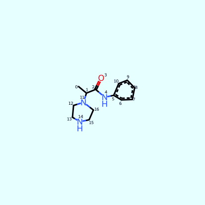 CC(C(=O)Nc1cc[c]cc1)N1CCNCC1